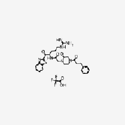 N=C(N)NCCCC(NC(=O)CN1CCN(C(=O)CCc2ccccc2)CC1=O)C(=O)c1nc2ccccc2s1.O=C(O)C(F)(F)F